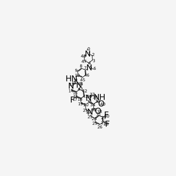 CN1CCC(N(C)c2ccc(Nc3ncc4c(F)c(/C=C/CN(Cc5ccc(F)c(F)c5)C(=O)c5cnc[nH]c5=O)ccc4n3)cc2)CC1